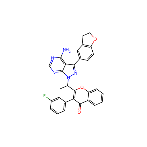 CC(c1oc2ccccc2c(=O)c1-c1cccc(F)c1)n1nc(-c2ccc3c(c2)CCO3)c2c(N)ncnc21